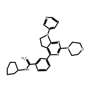 C=C(NC1CCCCC1)c1cccc(-c2nc(N3CCOCC3)nc3c2CCN3c2cccnc2)c1